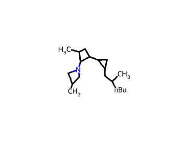 CCCCC(C)CC1CC1C1CC(C)C1N1CC(C)C1